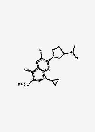 CCOC(=O)c1cn(C2CC2)c2nc(N3CCC(N(C)C(C)=O)C3)c(F)cc2c1=O